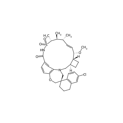 CO[C@H]1/C=C/[C@@H](C)[C@H](C)[C@@H](C)S(=O)(=O)NC(=O)c2ccc3c(c2)N(C[C@@H]2CC[C@H]21)C[C@@]1(CCCc2cc(Cl)ccc21)CO3